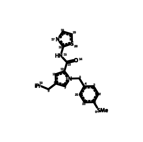 CSc1ccc(Cn2cc(CC(C)C)cc2C(=O)Nc2nccs2)cc1